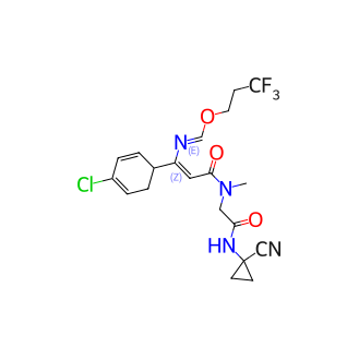 CN(CC(=O)NC1(C#N)CC1)C(=O)/C=C(\N=C\OCCC(F)(F)F)C1C=CC(Cl)=CC1